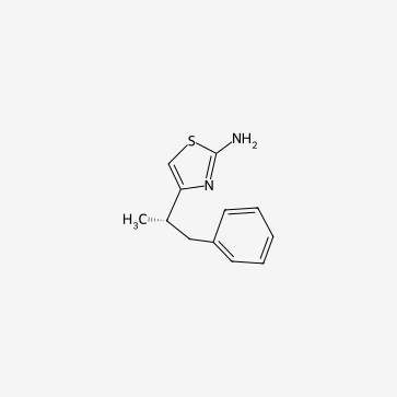 C[C@@H](Cc1ccccc1)c1csc(N)n1